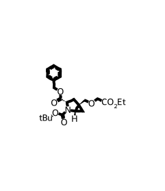 CCOC(=O)COC[C@@]12C[C@@H]1N(C(=O)OC(C)(C)C)[C@H](C(=O)OCc1ccccc1)C2